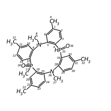 Cc1ccc2c(c1)N(C)c1cc(C)ccc1P(C)(=O)c1cc(C)ccc1N(C)c1ccc(C)cc1[PH]2=O